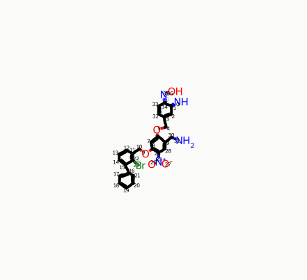 N=C1C=C(COc2cc(OCc3cccc(-c4ccccc4)c3Br)c([N+](=O)[O-])cc2CN)C=C/C1=N/O